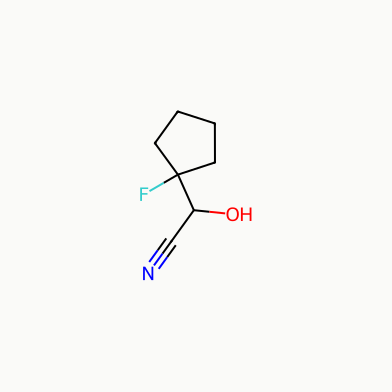 N#CC(O)C1(F)CCCC1